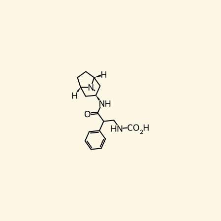 CN1[C@@H]2CC[C@H]1C[C@H](NC(=O)C(CNC(=O)O)c1ccccc1)C2